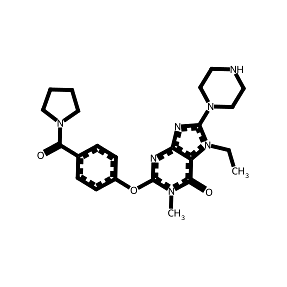 CCn1c(N2CCNCC2)nc2nc(Oc3ccc(C(=O)N4CCCC4)cc3)n(C)c(=O)c21